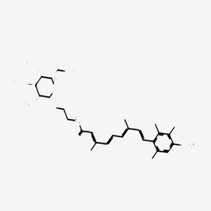 COc1cc(C)c(C=CC(C)=CC=CC(C)=CC(=O)NCCO[C@H]2O[C@H](COC(C)=O)[C@@H](OC(C)=O)[C@H](OC(C)=O)[C@@H]2NC(C)=O)c(C)c1C